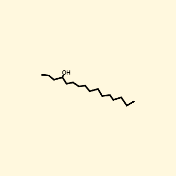 CCCCCCCCCCCCC(O)CCC